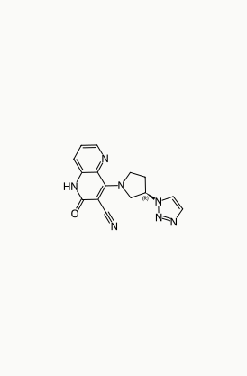 N#Cc1c(N2CC[C@@H](n3ccnn3)C2)c2ncccc2[nH]c1=O